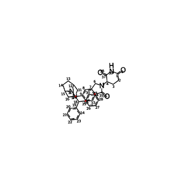 O=C1CCC(N2Cc3cc(CN4C5CCC4CN(C(c4ccccc4)c4ccccc4)C5)ccc3C2=O)C(=O)N1